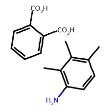 Cc1ccc(N)c(C)c1C.O=C(O)c1ccccc1C(=O)O